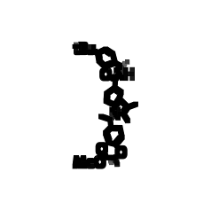 COC(=O)[C@H](C)Oc1ccc(C(C)n2c(C)c(C)c3cc(C(=O)N[C@@H](C)c4ccc(C(C)(C)C)cc4)ccc32)cc1